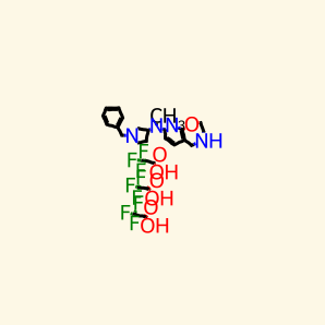 CN(c1ccc2c(n1)OCCNC2)C1CCN(Cc2ccccc2)C1.O=C(O)C(F)(F)F.O=C(O)C(F)(F)F.O=C(O)C(F)(F)F